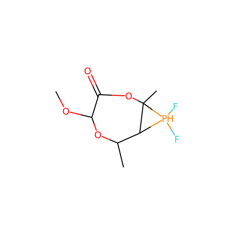 COC1OC(C)C2C(C)(OC1=O)[PH]2(F)F